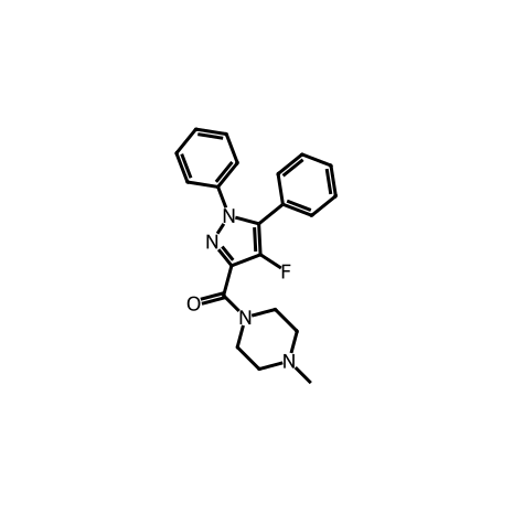 CN1CCN(C(=O)c2nn(-c3ccccc3)c(-c3ccccc3)c2F)CC1